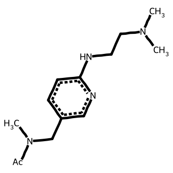 CC(=O)N(C)Cc1ccc(NCCN(C)C)nc1